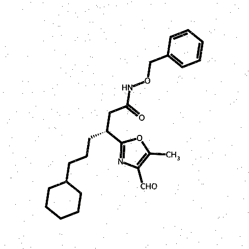 Cc1oc([C@H](CCCC2CCCCC2)CC(=O)NOCc2ccccc2)nc1C=O